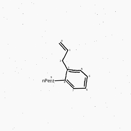 C=CCc1ccccc1CCCCC